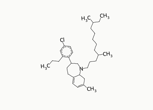 CCCc1cc(Cl)ccc1C1CCC2=CC=C(C)CC2N(CCCC(C)CCCCCC(C)CC)C1